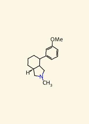 COc1cccc(C2CCC[C@H]3CN(C)CC23)c1